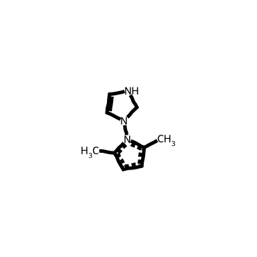 Cc1ccc(C)n1N1C=CNC1